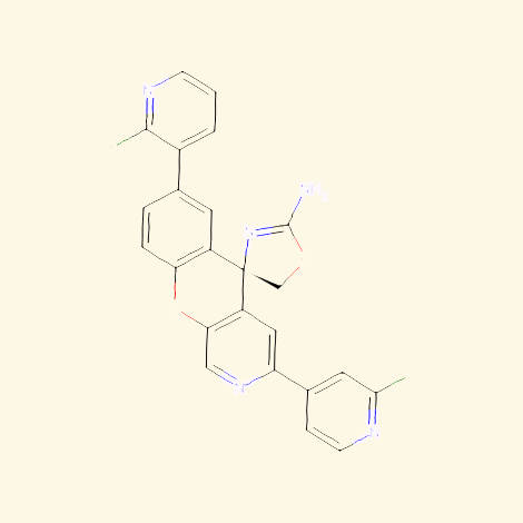 NC1=N[C@@]2(CO1)c1cc(-c3cccnc3F)ccc1Oc1cnc(-c3ccnc(F)c3)cc12